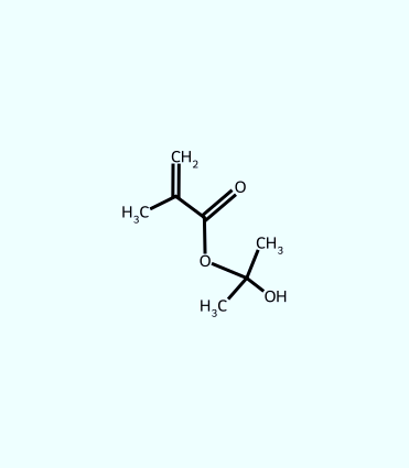 C=C(C)C(=O)OC(C)(C)O